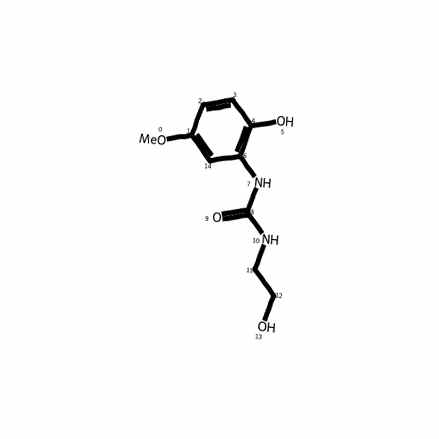 COc1ccc(O)c(NC(=O)NCCO)c1